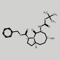 CC(C)(C)OC(=O)N[C@H]1C[C@H](O)CC[C@H]2CC[C@@H](C(=O)OCc3ccccc3)N2C1=O